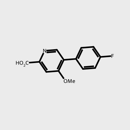 COc1cc(C(=O)O)ncc1-c1ccc(F)cc1